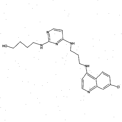 OCCCCNc1nccc(NCCCNc2ccnc3cc(Cl)ccc23)n1